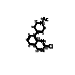 CC(=O)N1CC=C(c2cccc3cnc(Cl)nc23)CC1